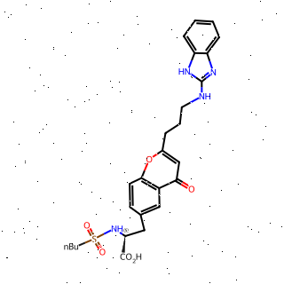 CCCCS(=O)(=O)N[C@@H](Cc1ccc2oc(CCCNc3nc4ccccc4[nH]3)cc(=O)c2c1)C(=O)O